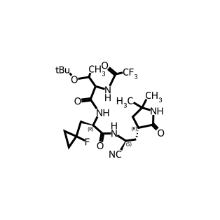 CC(OC(C)(C)C)C(NC(=O)C(F)(F)F)C(=O)N[C@H](CC1(F)CC1)C(=O)N[C@H](C#N)C[C@@H]1CC(C)(C)NC1=O